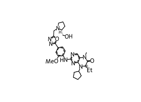 CC[C@@H]1C(=O)N(C)c2cnc(Nc3ccc(-c4nnc(CN5CCC[C@@H]5CO)o4)cc3OC)nc2N1C1CCCC1